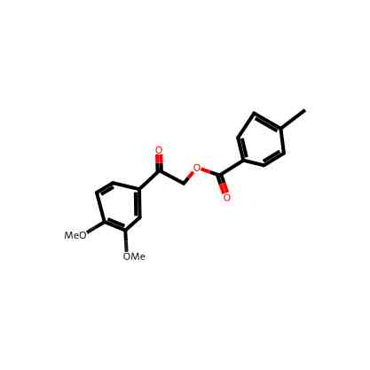 COc1ccc(C(=O)COC(=O)c2ccc(C)cc2)cc1OC